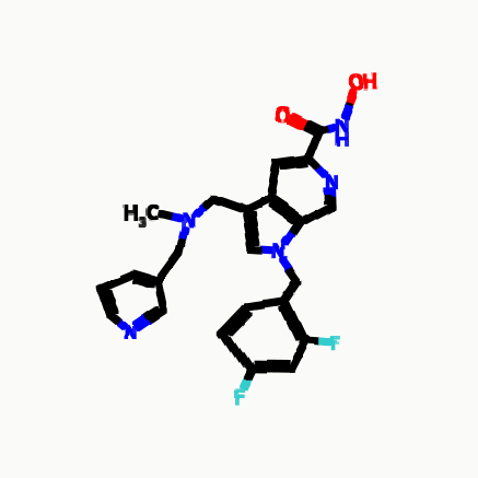 CN(Cc1cccnc1)Cc1cn(Cc2ccc(F)cc2F)c2cnc(C(=O)NO)cc12